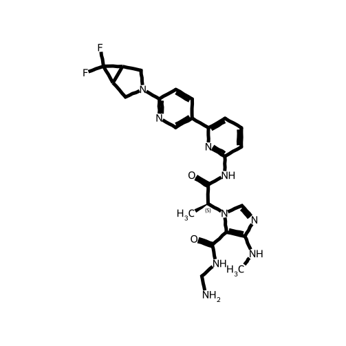 CNc1ncn([C@@H](C)C(=O)Nc2cccc(-c3ccc(N4CC5C(C4)C5(F)F)nc3)n2)c1C(=O)NCN